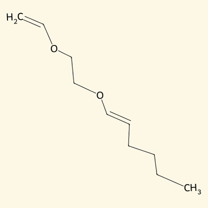 C=COCCOC=CCCCC